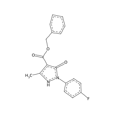 Cc1[nH]n(-c2ccc(F)cc2)c(=O)c1C(=O)OCc1ccccc1